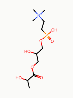 CC(O)C(=O)OCC(O)COP(=O)(O)CC[N+](C)(C)C